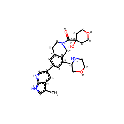 Cc1c[nH]c2ncc(-c3cc4c(c([C@@H]5COCCN5)c3)CN(C(=O)C3(O)CCOCC3)CC4)cc12